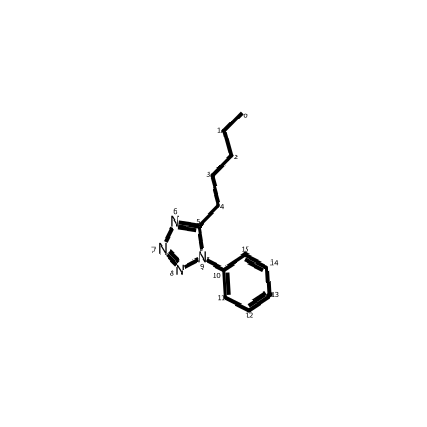 CCCCCc1nnnn1-c1ccccc1